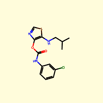 CC(C)CNc1scnc1OC(=O)Nc1cccc(Cl)c1